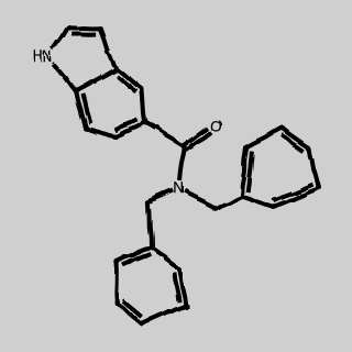 O=C(c1ccc2[nH]ccc2c1)N(Cc1ccccc1)Cc1ccccc1